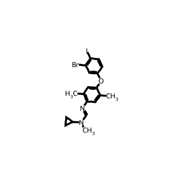 Cc1cc(Oc2ccc(I)c(Br)c2)c(C)cc1N=CN(C)C1CC1